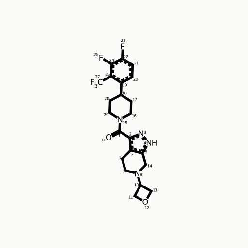 O=C(c1n[nH]c2c1CCN(C1COC1)C2)N1CCC(c2ccc(F)c(F)c2C(F)(F)F)CC1